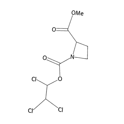 COC(=O)C1CCN1C(=O)OC(Cl)C(Cl)Cl